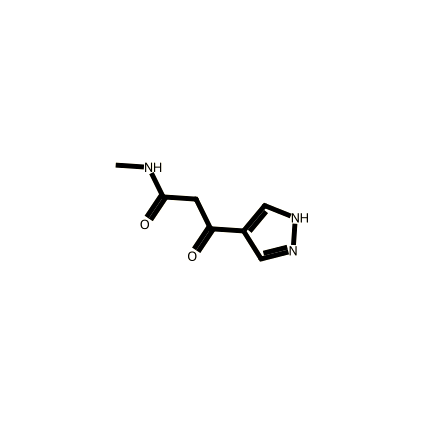 CNC(=O)CC(=O)c1cn[nH]c1